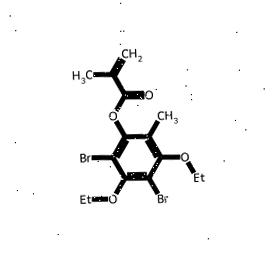 C=C(C)C(=O)Oc1c(C)c(OCC)c(Br)c(OCC)c1Br